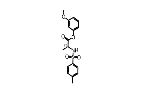 COc1cccc(OC(=O)[C@H](C)NS(=O)(=O)c2ccc(C)cc2)c1